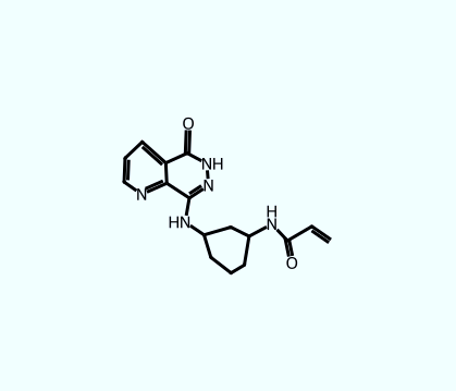 C=CC(=O)NC1CCCC(Nc2n[nH]c(=O)c3cccnc23)C1